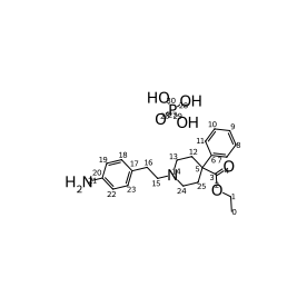 CCOC(=O)C1(c2ccccc2)CCN(CCc2ccc(N)cc2)CC1.O=P(O)(O)O